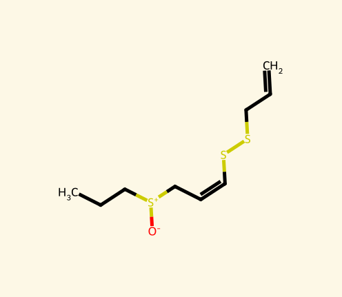 C=CCSS/C=C\C[S+]([O-])CCC